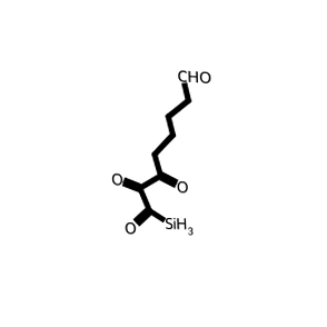 O=CCCCCC(=O)C(=O)C(=O)[SiH3]